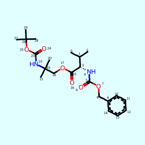 CC(C)[C@H](NC(=O)OCc1ccccc1)C(=O)OCC(C)(C)NC(=O)OC(C)(C)C